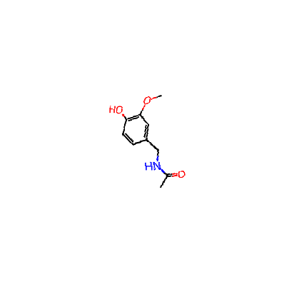 COc1cc(CNC(C)=O)ccc1O